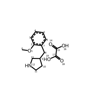 COc1ccccc1CC1CCNC1.O=C(O)C(=O)O